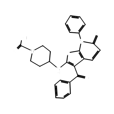 O=C(c1ccccc1)c1c(NC2CCN(C(=O)O)CC2)sc2c1ccc(=O)n2-c1ccccc1